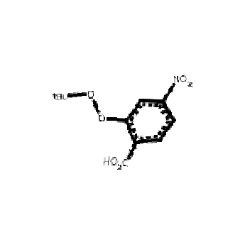 CC(C)(C)OOc1cc([N+](=O)[O-])ccc1C(=O)O